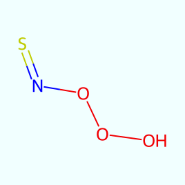 OOON=S